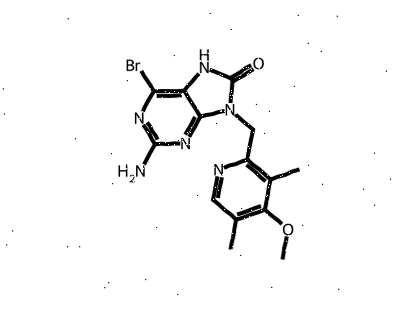 COc1c(C)cnc(Cn2c(=O)[nH]c3c(Br)nc(N)nc32)c1C